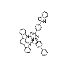 c1ccc(-c2ccc(-c3nc(-c4ccc(-c5nc6ccccc6o5)cc4)nc(-n4c5ccccc5c5ccc6c7ccccc7n(-c7ccccc7)c6c54)n3)cc2)cc1